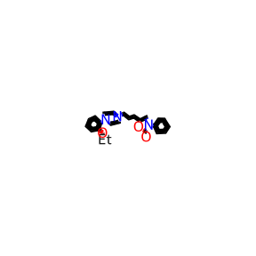 CCOc1ccccc1N1CCN(CCCC2CN(c3ccccc3)C(=O)O2)CC1